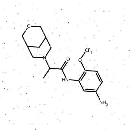 CC(C(=O)Nc1cc(N)ccc1OC(F)(F)F)N1CC2COCC(C2)C1